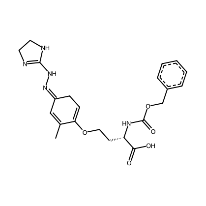 CC1=CC(=NNC2=NCCN2)CC=C1OCC[C@H](NC(=O)OCc1ccccc1)C(=O)O